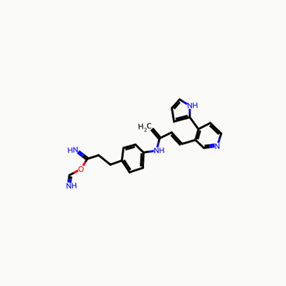 C=C(/C=C/c1cnccc1-c1ccc[nH]1)Nc1ccc(CCC(=N)OC=N)cc1